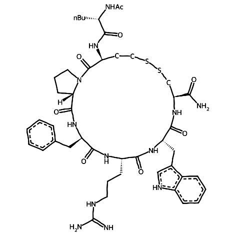 CCCC[C@H](NC(C)=O)C(=O)N[C@H]1CCSSC[C@@H](C(N)=O)NC(=O)[C@H](Cc2c[nH]c3ccccc23)NC(=O)[C@H](CCCNC(=N)N)NC(=O)[C@@H](Cc2ccccc2)NC(=O)[C@@H]2CCCN2C1=O